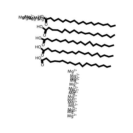 CCCCCCCCCCCCCCCCCC(=O)O.CCCCCCCCCCCCCCCCCC(=O)O.CCCCCCCCCCCCCCCCCC(=O)O.CCCCCCCCCCCCCCCCCC(=O)O.CCCCCCCCCCCCCCCCCC(=O)O.[Mg+2].[Mg+2].[Mg+2].[Mg+2].[Mg+2].[Mg+2].[Mg+2].[Mg+2].[Mg+2].[Mg+2].[Mg+2].[Mg+2].[Mg+2].[Mg+2].[Mg+2].[Mg+2].[Mg+2].[Mg+2].[Mg+2].[Mg+2].[Mg+2].[Mg+2]